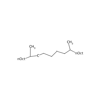 CCCCCCCCC(C)C[CH]CCCC(C)CCCCCCCC